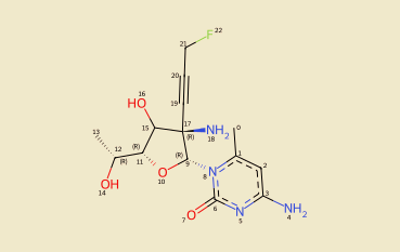 Cc1cc(N)nc(=O)n1[C@@H]1O[C@H]([C@@H](C)O)C(O)[C@]1(N)C#CCF